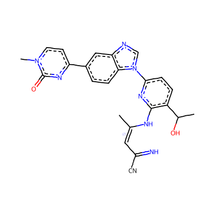 C/C(=C/C(=N)C#N)Nc1nc(-n2cnc3cc(-c4ccn(C)c(=O)n4)ccc32)ccc1C(C)O